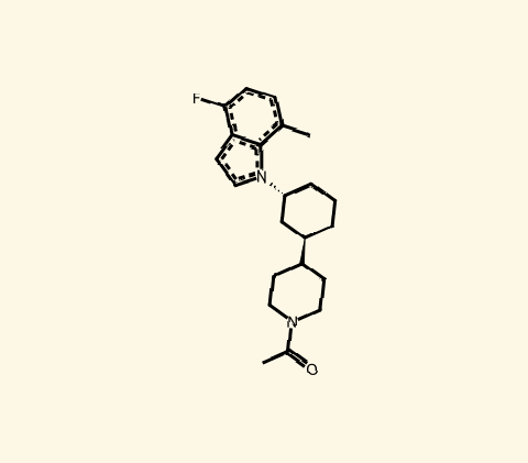 CC(=O)N1CCC([C@@H]2CCC[C@@H](n3ccc4c(F)ccc(C)c43)C2)CC1